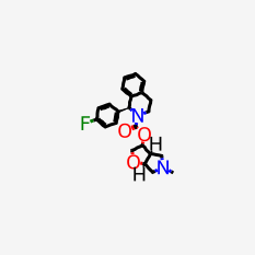 CN1C[C@@H]2C(OC(=O)N3CCc4ccccc4[C@@H]3c3ccc(F)cc3)CO[C@@H]2C1